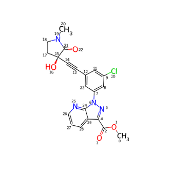 COC(=O)c1nn(-c2cc(Cl)cc(C#C[C@]3(O)CCN(C)C3=O)c2)c2ncccc12